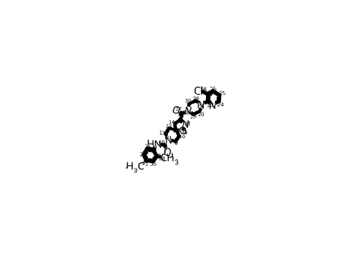 Cc1ccc(NC(=O)N2CCC3(CC2)CC(C(=O)N2CCN(c4ncccc4Cl)CC2)=NO3)c(C)c1